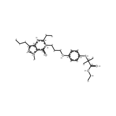 CCCc1nn(C)c2c(=O)n(CCCOc3ccc(SC(C)(C)C(=O)OCC)cc3)c(CC)nc12